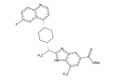 COC(=O)c1cc(C)c2[nH]c(C(C)[C@H]3CC[C@@H](c4ccnc5ccc(F)cc54)CC3)nc2c1